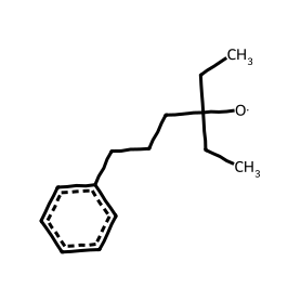 CCC([O])(CC)CCCc1ccccc1